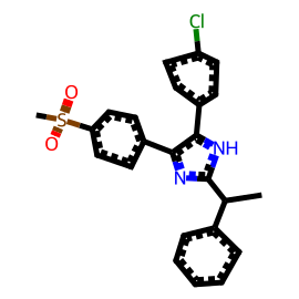 CC(c1ccccc1)c1nc(-c2ccc(S(C)(=O)=O)cc2)c(-c2ccc(Cl)cc2)[nH]1